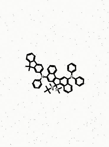 CC1(C)c2ccccc2-c2ccc(N(c3ccccc3)c3cc4c(c5ccccc35)-c3cc(N(c5ccccc5)c5ccccc5)c5ccccc5c3C4([Si](C)(C)C)[Si](C)(C)C(C)(C)C)cc21